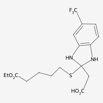 CCOC(=O)CCCCSC1(CC(=O)O)Nc2ccc(C(F)(F)F)cc2N1